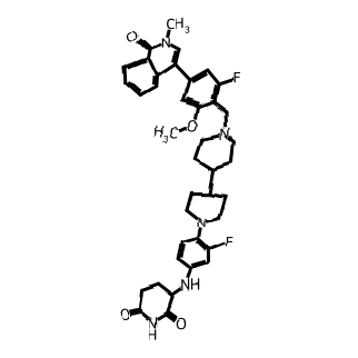 COc1cc(-c2cn(C)c(=O)c3ccccc23)cc(F)c1CN1CCC(C2CCN(c3ccc(NC4CCC(=O)NC4=O)cc3F)CC2)CC1